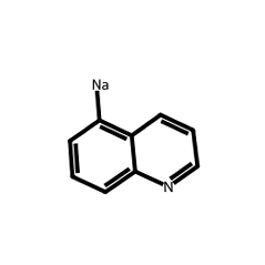 [Na][c]1cccc2ncccc12